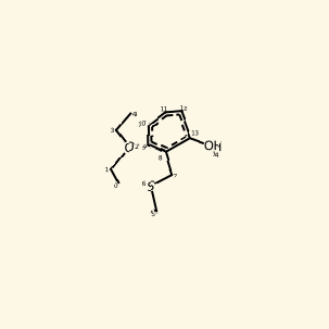 CCOCC.CSCc1ccccc1O